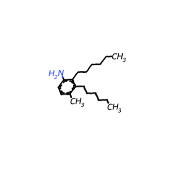 CCCCCCc1c(C)ccc(N)c1CCCCCC